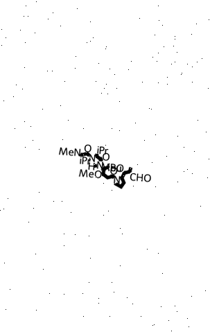 CCC(C)C(C(CC(=O)N1CCCC1C(OC)C(C)C=O)OC)N(C)C(=O)C(NC(=O)C(NC)C(C)C)C(C)C